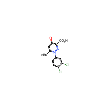 CCCCc1cc(=O)c(C(=O)O)nn1-c1ccc(Cl)c(Cl)c1